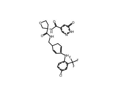 O=C(N[C@@]1(C(=O)NCC2C=CC(Nc3ccc(Cl)cc3C(F)(F)F)=CC2)CCOC1)c1cn[nH]c(=O)c1